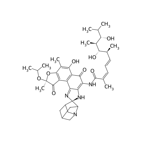 C/C(=C/C=C/[C@H](C)[C@H](O)[C@@H](C)[C@@H](O)C(C)C)C(=O)NC1=C2N[C@]3(N=C2c2c(c(O)c(C)c4c2C(=O)[C@@](C)(OC(C)C)O4)C1=O)C1CC2CC3N(C2)C1